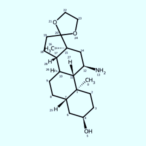 C[C@]12CC[C@@H](O)C[C@@H]1CC[C@@H]1[C@@H]2[C@H](N)C[C@@]2(C)[C@H]1CCC21OCCO1